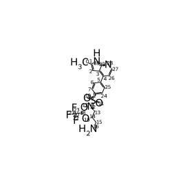 Cc1cc2c(-c3ccc(S(=O)(=O)N(CCCN)OC(=O)C(F)(F)F)cc3)ccnc2[nH]1